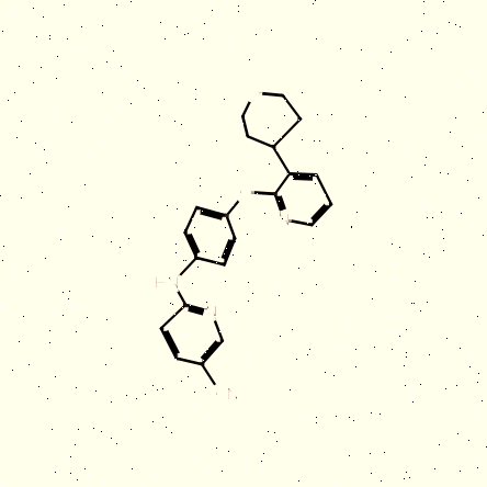 N#Cc1ccc(Nc2ccc(Oc3ncccc3C3CCOCC3)cc2)nc1